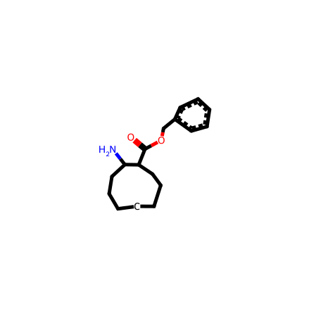 NC1CCCCCCCC1C(=O)OCc1ccccc1